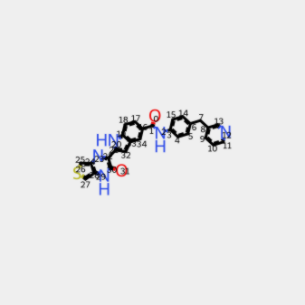 O=C(Nc1ccc(Cc2cccnc2)cc1)c1ccc2[nH]c(-c3nc4cscc4[nH]c3=O)cc2c1